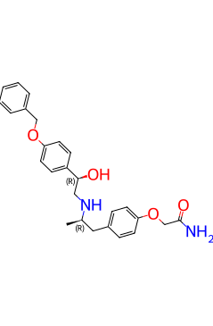 C[C@H](Cc1ccc(OCC(N)=O)cc1)NC[C@H](O)c1ccc(OCc2ccccc2)cc1